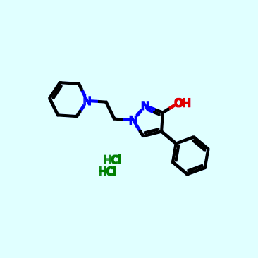 Cl.Cl.Oc1nn(CCN2CC=CCC2)cc1-c1ccccc1